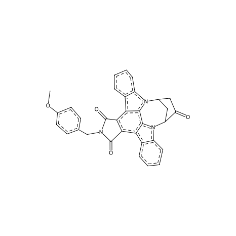 COc1ccc(CN2C(=O)c3c(c4c5ccccc5n5c4c4c3c3ccccc3n4C3CC(=O)C5C3)C2=O)cc1